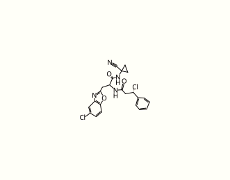 N#CC1(NC(=O)C(Cc2nc3cc(Cl)ccc3o2)NC(=O)C[C@H](Cl)c2ccccc2)CC1